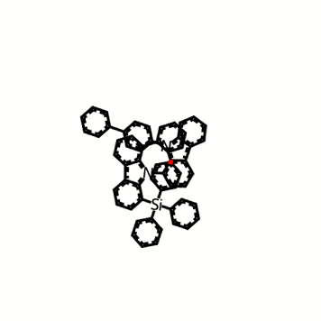 c1ccc(-c2ccc(-n3c4ccccc4c4cccc(-n5c6c(-c7ccccc7)cccc6c6cccc([Si](c7ccccc7)(c7ccccc7)c7ccccc7)c65)c43)cc2)cc1